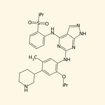 Cc1cc(Nc2nc(Nc3ccccc3S(=O)(=O)C(C)C)c3cn[nH]c3n2)c(OC(C)C)cc1C1CCCNC1